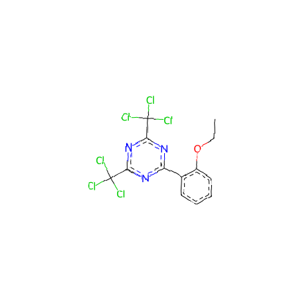 CCOc1ccccc1-c1nc(C(Cl)(Cl)Cl)nc(C(Cl)(Cl)Cl)n1